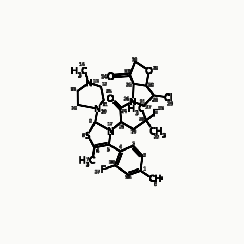 [CH]c1ccc(C2=C(C)SC(N3CCN(C)CC3)N2C(CC(C)(C)F)C(=O)N2CC(Cl)C3OCC(=O)C32)c(F)c1